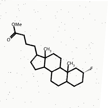 COC(=O)CCCC1CCC2C3CCC4CC[C@@H](F)CC4(C)C3CCC12C